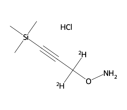 Cl.[2H]C([2H])(C#C[Si](C)(C)C)ON